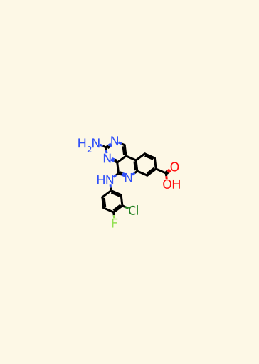 Nc1ncc2c(n1)c(Nc1ccc(F)c(Cl)c1)nc1cc(C(=O)O)ccc12